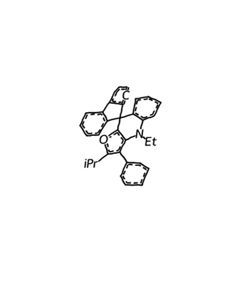 CCN1c2ccccc2C2(c3ccccc3-c3ccccc32)c2oc(C(C)C)c(-c3ccccc3)c21